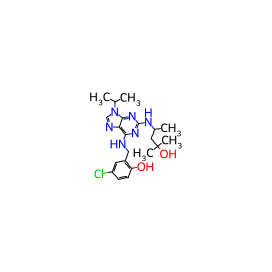 CC(CC(C)(C)O)Nc1nc(NCc2cc(Cl)ccc2O)c2ncn(C(C)C)c2n1